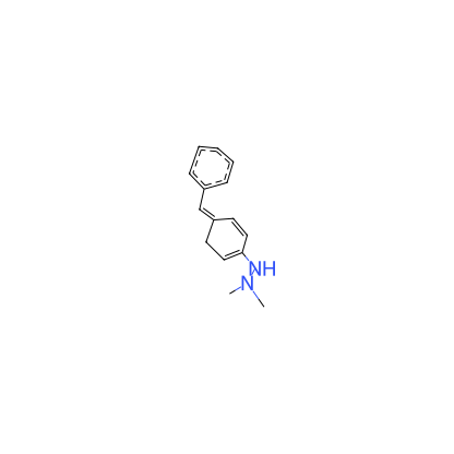 CN(C)NC1=CCC(=Cc2ccccc2)C=C1